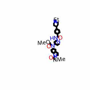 CCN1CCC(c2ccc(C(=O)Nc3cc(N(C(=O)COC)c4ccc5c(ccn5C(=O)NC)c4)ccn3)cc2)CC1